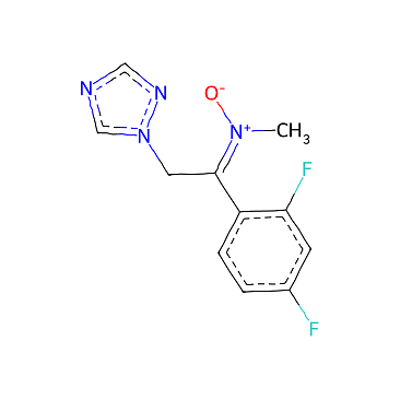 C/[N+]([O-])=C(/Cn1cncn1)c1ccc(F)cc1F